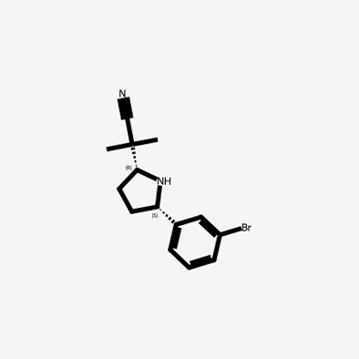 CC(C)(C#N)[C@H]1CC[C@@H](c2cccc(Br)c2)N1